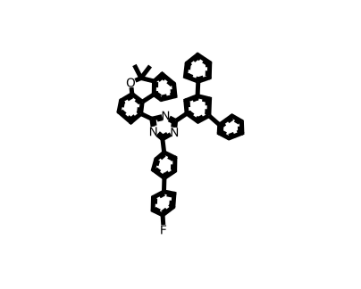 CC1(C)Oc2cccc(-c3nc(-c4ccc(-c5ccc(F)cc5)cc4)nc(-c4cc(-c5ccccc5)cc(-c5ccccc5)c4)n3)c2-c2ccccc21